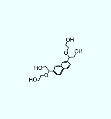 OCCOC(CO)c1ccc2ccc(C(CO)OCCO)cc2c1